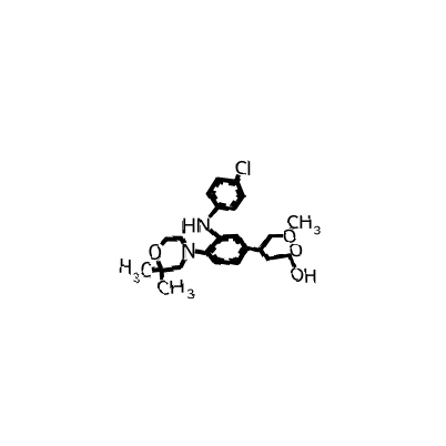 COCC(CC(=O)O)c1ccc(N2CCOC(C)(C)C2)c(Nc2ccc(Cl)cc2)c1